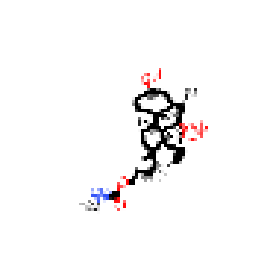 CCCCNC(=O)OCC[C@@H](C)[C@H]1CC[C@H]2C3[C@H](O)[C@H](CC)C4C[C@H](O)CCC4(C)[C@H]3CCC12C